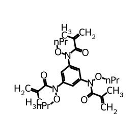 C=C(C)C(=O)N(OCCC)c1cc(N(OCCC)C(=O)C(=C)C)cc(N(OCCC)C(=O)C(=C)C)c1